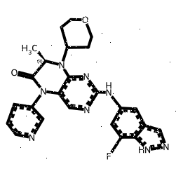 C[C@@H]1C(=O)N(c2cccnc2)c2cnc(Nc3cc(F)c4[nH]ncc4c3)nc2N1C1CCOCC1